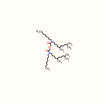 CCCCCCCCN(CCCCC(C)CCCC(C)C)C(=O)COCC(=O)N(CCCCCCCC)CCCCC(C)CCCC(C)C